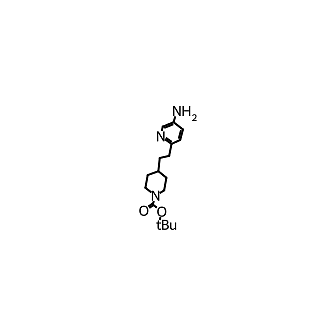 CC(C)(C)OC(=O)N1CCC(CCc2ccc(N)cn2)CC1